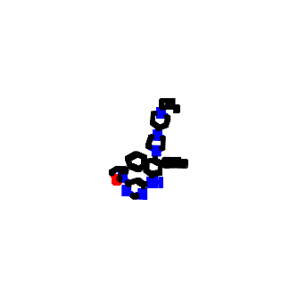 COc1cc(Nc2cc(N3OCC[C@@H]3c3ccccc3)ncn2)ccc1N1CCN(C2CCN(C)CC2)CC1